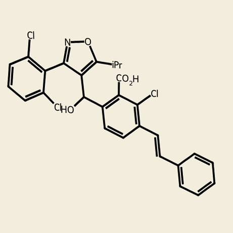 CC(C)c1onc(-c2c(Cl)cccc2Cl)c1C(O)c1ccc(C=Cc2ccccc2)c(Cl)c1C(=O)O